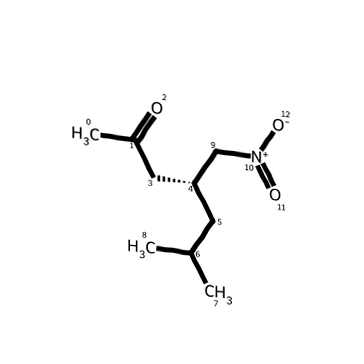 CC(=O)C[C@@H](CC(C)C)C[N+](=O)[O-]